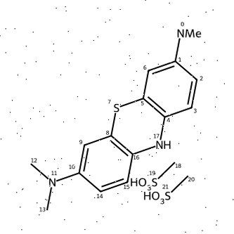 CNc1ccc2c(c1)Sc1cc(N(C)C)ccc1N2.CS(=O)(=O)O.CS(=O)(=O)O